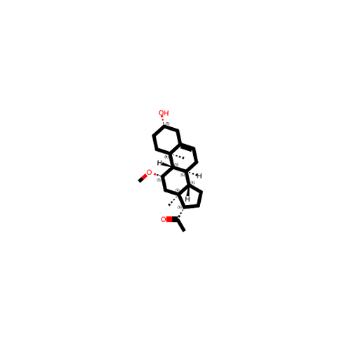 CO[C@H]1C[C@]2(C)[C@@H](C(C)=O)CC[C@H]2[C@@H]2CC=C3C[C@@H](O)CC[C@]3(C)[C@H]21